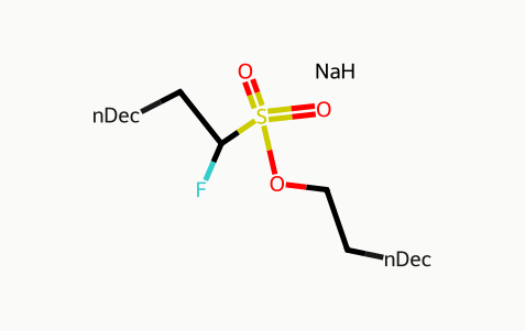 CCCCCCCCCCCCOS(=O)(=O)C(F)CCCCCCCCCCC.[NaH]